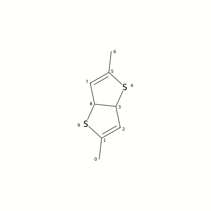 CC1=CC2SC(C)=CC2S1